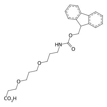 O=C(O)CCOCCCOCCCNC(=O)OCC1c2ccccc2-c2ccccc21